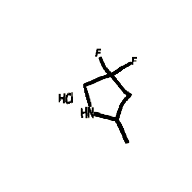 CC1CC(F)(F)CN1.Cl